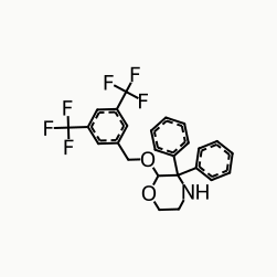 FC(F)(F)c1cc(COC2OCCNC2(c2ccccc2)c2ccccc2)cc(C(F)(F)F)c1